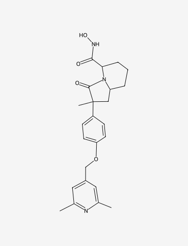 Cc1cc(COc2ccc(C3(C)CC4CCCC(C(=O)NO)N4C3=O)cc2)cc(C)n1